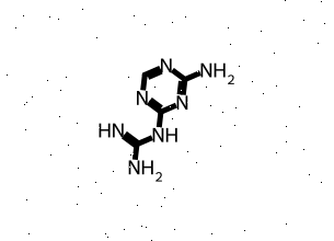 N=C(N)Nc1ncnc(N)n1